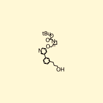 CC(C)(C)OC(=O)N1CC[C@H]1COc1cncc(-c2cccc(CCCO)c2)c1